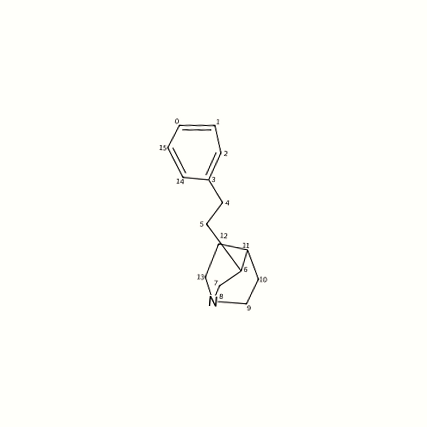 c1ccc(CCC2CN3CCC2CC3)cc1